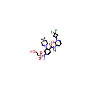 C[Si]1(C)CCN(c2cc(NS(=O)(=O)CCO)ccc2C(=O)Nc2cccn(C3CC(F)(F)C3)c2=O)CC1